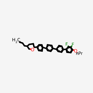 C=CCCC1CCC(c2ccc(-c3ccc(-c4ccc(-c5ccc(OCCC)c(F)c5F)cc4)cc3)cc2)OC1